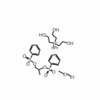 CC(COS(=O)(=O)c1ccccc1)OS(=O)(=O)c1ccccc1.C[CH]C[N+](CCO)(CCO)CCO.[CH2][CH]C.[CH2][CH]C